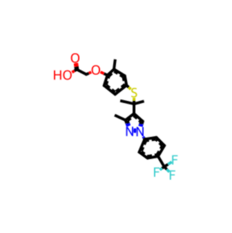 Cc1cc(SC(C)(C)c2cn(-c3ccc(C(F)(F)F)cc3)nc2C)ccc1OCC(=O)O